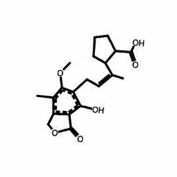 COc1c(C)c2c(c(O)c1CC=C(C)C1CCCC1C(=O)O)C(=O)OC2